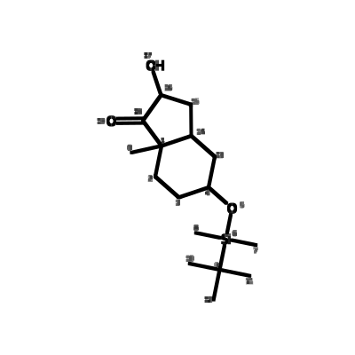 CC12CCC(O[Si](C)(C)C(C)(C)C)CC1CC(O)C2=O